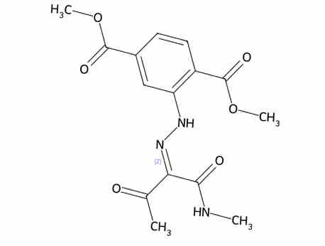 CNC(=O)/C(=N\Nc1cc(C(=O)OC)ccc1C(=O)OC)C(C)=O